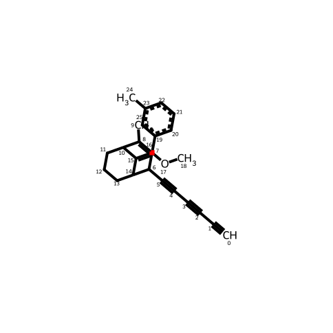 C#CC#CC#CC1C=C(C)C2CCCC1/C2=C(\OC)c1cccc(C)c1